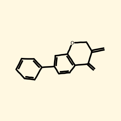 C=C1COc2cc(-c3ccccc3)ccc2C1=C